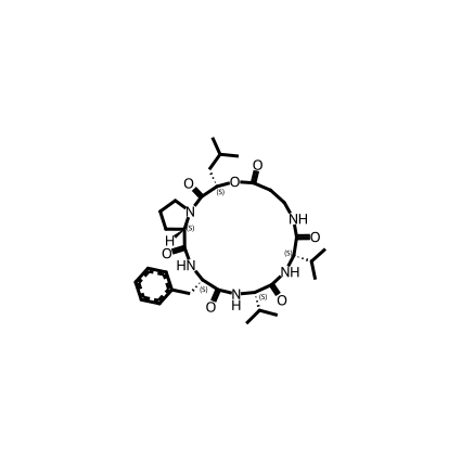 CC(C)C[C@@H]1OC(=O)CCNC(=O)[C@H](C(C)C)NC(=O)[C@H](C(C)C)NC(=O)[C@H](Cc2ccccc2)NC(=O)[C@@H]2CCCN2C1=O